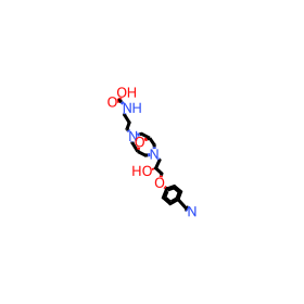 N#Cc1ccc(OC[C@@H](O)CN2CC3CN(CCCNC(=O)O)CC(C2)O3)cc1